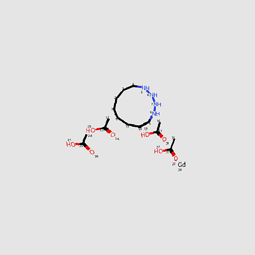 C1CCCCNNNNCCC1.CC(=O)O.CC(=O)O.CC(=O)O.CC(=O)O.[Gd]